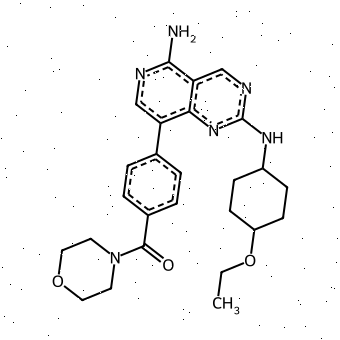 CCOC1CCC(Nc2ncc3c(N)ncc(-c4ccc(C(=O)N5CCOCC5)cc4)c3n2)CC1